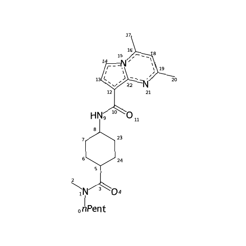 CCCCCN(C)C(=O)C1CCC(NC(=O)c2ccn3c(C)cc(C)nc23)CC1